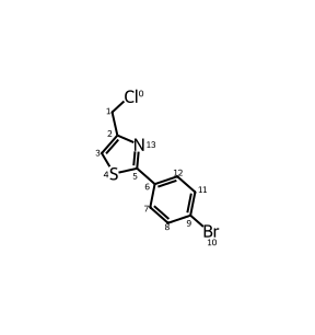 ClCc1csc(-c2ccc(Br)cc2)n1